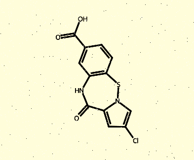 O=C(O)c1ccc2c(c1)NC(=O)c1cc(Cl)cn1S2